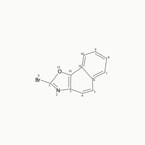 Brc1nc2ccc3ccccc3c2o1